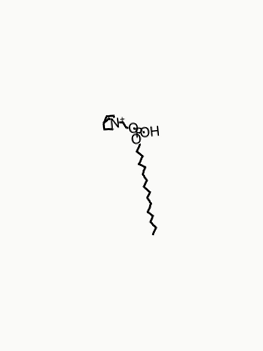 CCCCCCCCCCCCCCCCOP(O)OCC[N+]12CCC(CC1)C2